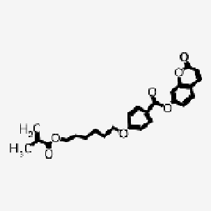 C=C(C)C(=O)OCCCCCCOc1ccc(C(=O)Oc2ccc3ccc(=O)oc3c2)cc1